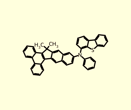 CC1(C)c2cc3cc(N(c4ccccc4)c4cccc5c4sc4ccccc45)ccc3cc2-c2c1c1ccccc1c1ccccc21